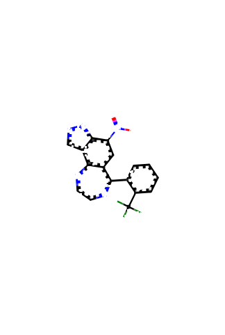 O=[N+]([O-])c1cc2c(-c3ccccc3C(F)(F)F)nccnc2c2cnnc12